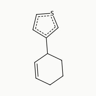 C1=CC(c2ccsc2)CCC1